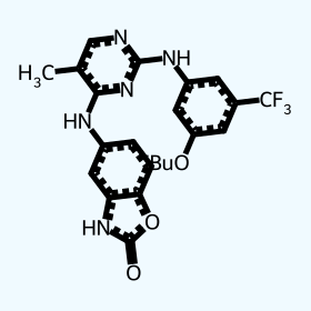 Cc1cnc(Nc2cc(OCC(C)C)cc(C(F)(F)F)c2)nc1Nc1ccc2oc(=O)[nH]c2c1